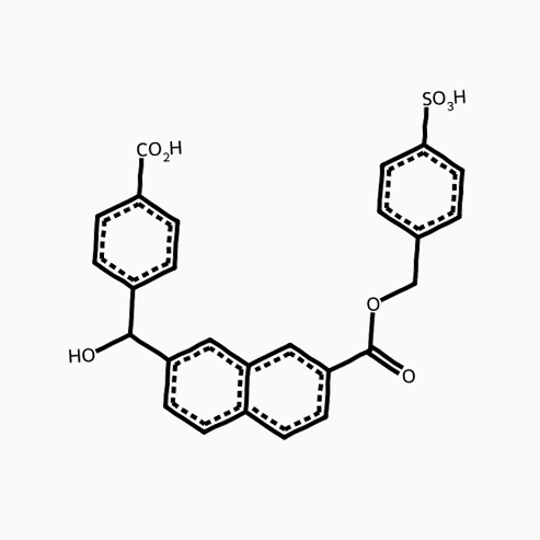 O=C(O)c1ccc(C(O)c2ccc3ccc(C(=O)OCc4ccc(S(=O)(=O)O)cc4)cc3c2)cc1